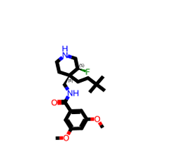 COc1cc(OC)cc(C(=O)NC[C@@]2(CCC(C)(C)C)CCNC[C@H]2F)c1